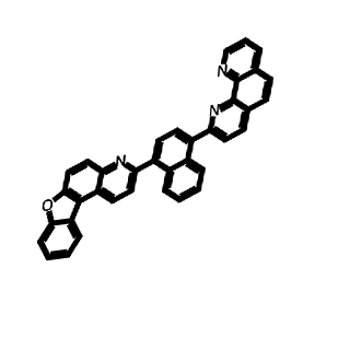 c1cnc2c(c1)ccc1ccc(-c3ccc(-c4ccc5c(ccc6oc7ccccc7c65)n4)c4ccccc34)nc12